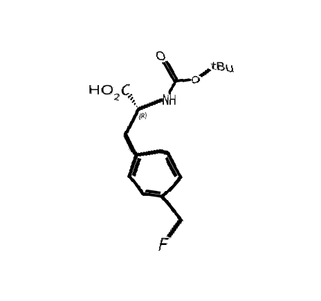 CC(C)(C)OC(=O)N[C@H](Cc1ccc(CF)cc1)C(=O)O